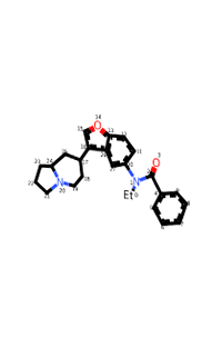 CCN(C(=O)c1ccccc1)c1ccc2occ(C3CCN4CCCC4C3)c2c1